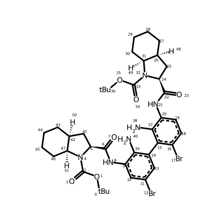 CC(C)(C)OC(=O)N1[C@H](C(=O)Nc2cc(Br)cc(-c3c(Br)ccc(NC(=O)[C@@H]4C[C@@H]5CCCC[C@@H]5N4C(=O)OC(C)(C)C)c3N)c2N)C[C@@H]2CCCC[C@@H]21